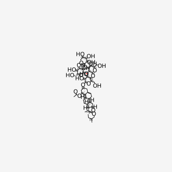 CC(=O)O[C@@H]1C[C@H](O[C@@H]2O[C@H](CO)[C@H](O[C@@H]3O[C@H](CO)[C@@H](O)[C@H](O[C@@H]4OC[C@@H](O)[C@H](O)[C@H]4O)[C@H]3O[C@@H]3O[C@H](CO)[C@@H](O)[C@H](O)[C@H]3O)[C@H](O)[C@H]2O)CC2=CC[C@H]3[C@@H]4C[C@@H]5O[C@]6(CC[C@H](C)CO6)[C@@H](C)[C@@H]5[C@@]4(C)CC[C@@H]3[C@]21C